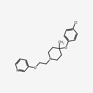 CC1(Oc2ccc(Cl)cc2)CCN(CCOc2cccnc2)CC1